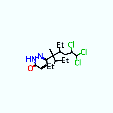 CCC(CC)C(C)(c1ccc(=O)[nH]n1)C(CC)CC(Cl)C(Cl)Cl